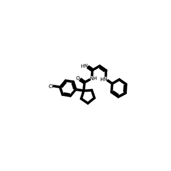 N=C(/C=C\NC1C=CC=CC1)NC(=O)C1(c2ccc(Cl)cc2)CCCC1